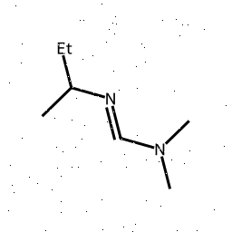 CCC(C)/N=C/N(C)C